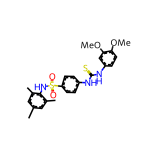 COc1ccc(NC(=S)Nc2ccc(S(=O)(=O)Nc3c(C)cc(C)cc3C)cc2)cc1OC